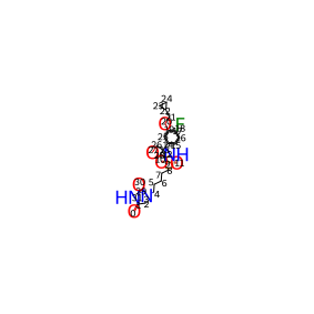 O=C1CN(CCCCCS(=O)(=O)NC2(c3ccc(F)c(OCC4CC4)c3)COC2)C(=O)N1